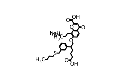 CCCCSCc1cccc(C(CCCC(=O)O)COc2ccc3c(=O)cc(C(=O)O)oc3c2CCC)c1.[NaH].[NaH]